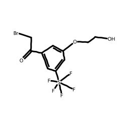 O=C(CBr)c1cc(OCCO)cc(S(F)(F)(F)(F)F)c1